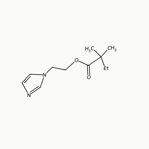 CCC(C)(C)C(=O)OCCn1ccnc1